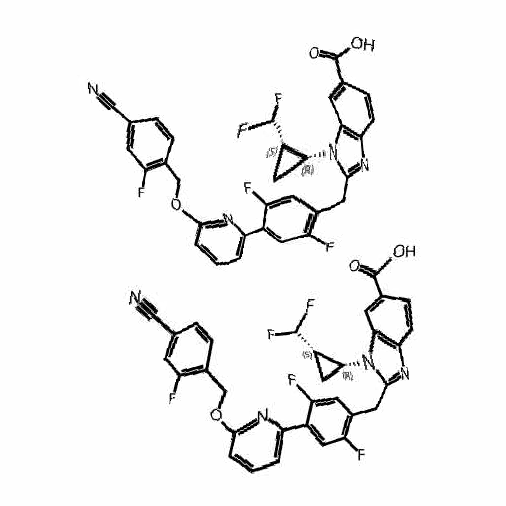 N#Cc1ccc(COc2cccc(-c3cc(F)c(Cc4nc5ccc(C(=O)O)cc5n4[C@@H]4C[C@@H]4C(F)F)cc3F)n2)c(F)c1.N#Cc1ccc(COc2cccc(-c3cc(F)c(Cc4nc5ccc(C(=O)O)cc5n4[C@@H]4C[C@@H]4C(F)F)cc3F)n2)c(F)c1